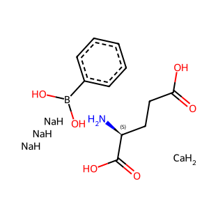 N[C@@H](CCC(=O)O)C(=O)O.OB(O)c1ccccc1.[CaH2].[NaH].[NaH].[NaH]